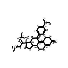 CBCC(=O)[C@@]1(OC(C)=O)CCC2C3CCC4=CC(=O)CCC4=C3C(c3ccc(N(C)C)cc3)C[C@@]21C